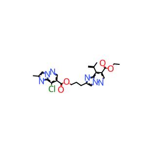 C=C(C)c1c(C(=O)OCC)cnn2cc(CCCOC(=O)c3cnn4cc(C)nc4c3Cl)nc12